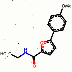 COc1ccc(-c2ccc(C(=O)NCC(=O)O)o2)cc1